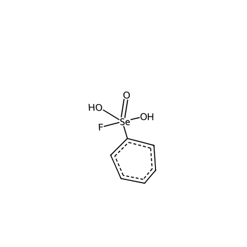 O=[Se](O)(O)(F)c1ccccc1